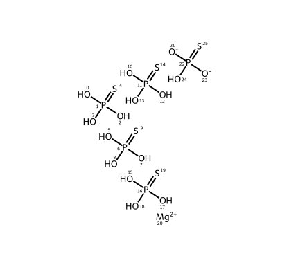 OP(O)(O)=S.OP(O)(O)=S.OP(O)(O)=S.OP(O)(O)=S.[Mg+2].[O-]P([O-])(O)=S